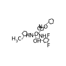 CCc1cccc(CNC[C@@H](O)[C@H](Cc2cc(F)cc(F)c2)NC(=O)c2cc(OCc3ccccc3)no2)c1